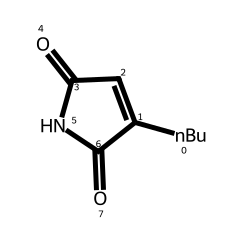 CCCCC1=CC(=O)NC1=O